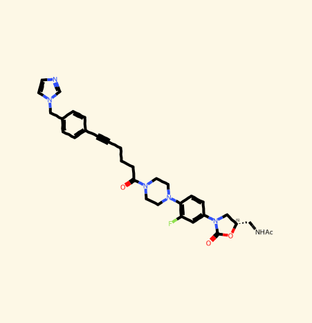 CC(=O)NC[C@H]1CN(c2ccc(N3CCN(C(=O)CCCC#Cc4ccc(Cn5ccnc5)cc4)CC3)c(F)c2)C(=O)O1